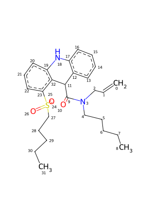 C=CCN(CCCCC)C(=O)C1c2ccccc2Nc2cccc(S(=O)(=O)CCCCC)c21